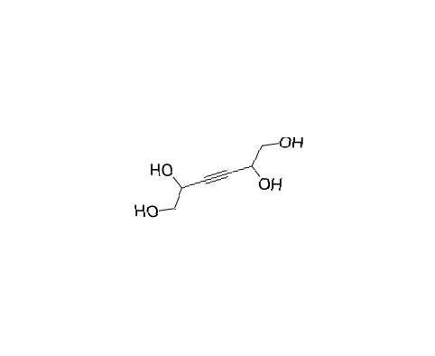 OCC(O)C#CC(O)CO